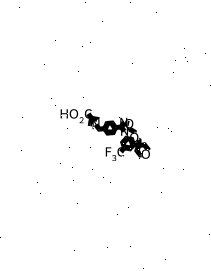 O=C(O)C1CN(Cc2ccc(-c3noc(COCC4(c5cccc(C(F)(F)F)c5)CCOCC4)n3)cc2)C1